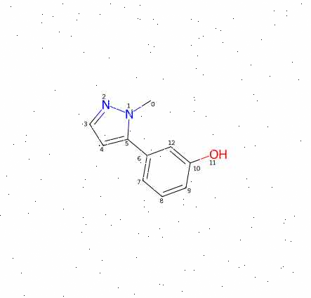 Cn1nc[c]c1-c1cccc(O)c1